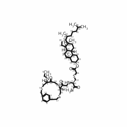 CCN[C@H]1CSCc2ccc(cc2)CSC[C@@H](C(=O)CN[C@@H](CSCC(=O)O[C@H]2CC[C@@]3(C)C(=CC[C@H]4[C@@H]5CC[C@H]([C@H](C)CCCC(C)C)[C@@]5(C)CC[C@@H]43)C2)C(N)=O)NCC1=O